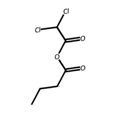 CC[CH]C(=O)OC(=O)C(Cl)Cl